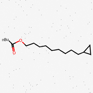 CCCCC(=O)OCCCCCCCCCC1CC1